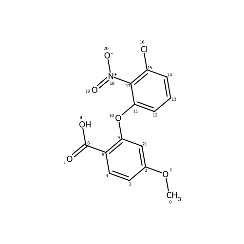 COc1ccc(C(=O)O)c(Oc2cccc(Cl)c2[N+](=O)[O-])c1